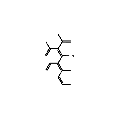 C=C/C(C(C#N)=C(C(=C)C)C(=C)C)=C(C)\C=C/C